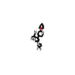 N#Cc1cnn2cc(N3CCC(F)(F)C3)cc(C3=CCC(N4CC5CC(C4)N5)N=CC3)c12